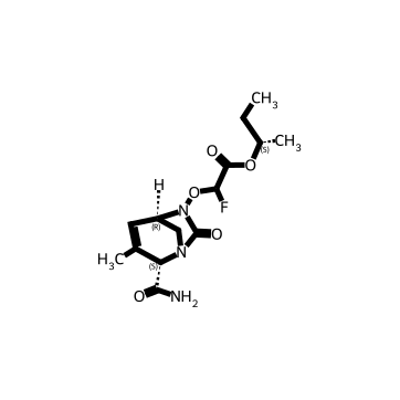 CC[C@H](C)OC(=O)C(F)ON1C(=O)N2C[C@H]1C=C(C)[C@H]2C(N)=O